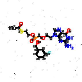 CC(C)(C)C(=O)SCCOP(=O)(COCCn1cnc2c(=O)[nH]c(N)nc21)OCc1cccc(F)c1